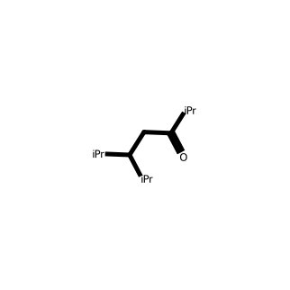 CC(C)C(=O)CC(C(C)C)C(C)C